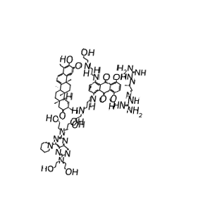 CC(/C=N/NC(=N)N)=N\NC(=N)N.CC1=C(O)C(=O)C=C2C1=CC=C1[C@@]2(C)CC[C@]2(C)[C@@H]3C[C@@H](C)C(=O)C[C@]3(C)CC[C@@]12C.O=C1c2c(O)ccc(O)c2C(=O)c2c(NCCNCCO)ccc(NCCNCCO)c21.OCCN(CCO)c1nc(N2CCCCC2)c2nc(N(CCO)CCO)ncc2n1